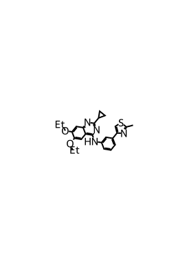 CCOc1cc2nc(C3CC3)nc(Nc3cccc(-c4csc(C)n4)c3)c2cc1OCC